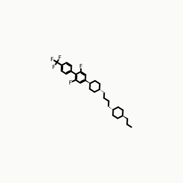 CCC[C@H]1CC[C@H](CCCC[C@H]2CC[C@H](c3cc(F)c(-c4ccc(C(F)(F)F)cc4)c(F)c3)CC2)CC1